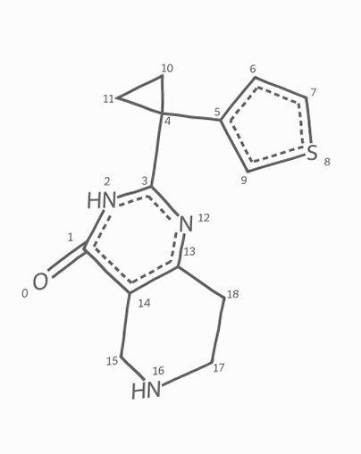 O=c1[nH]c(C2(c3ccsc3)CC2)nc2c1CNCC2